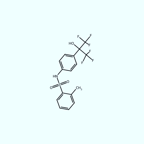 Cc1ccccc1S(=O)(=O)Nc1ccc(C(O)(C(F)(F)F)C(F)(F)F)cc1